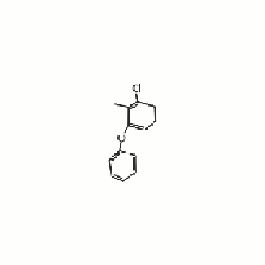 Cc1c(Cl)cccc1Oc1ccccc1